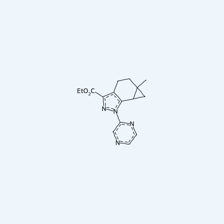 CCOC(=O)c1nn(-c2cnccn2)c2c1CCC1(C)CC21